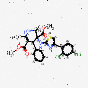 COC(=O)C1=C(C)NC(C)C(Nc2nc(-c3ccc(Cl)cc3Cl)cs2)(C(=O)OC)C1c1ccccc1